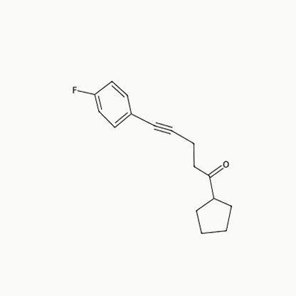 O=C(CCC#Cc1ccc(F)cc1)C1CCCC1